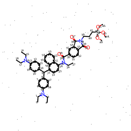 CCN(CC)c1ccc(C(c2ccc(N(CC)CC)cc2)c2ccc(N(CC)C(=O)c3ccc4c(c3)C(=O)N(CCC[Si](OC)(OC)OC)C4=O)c3ccccc23)cc1